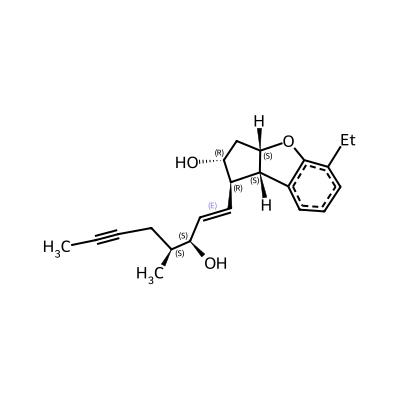 CC#CC[C@H](C)[C@H](O)/C=C/[C@@H]1[C@H]2c3cccc(CC)c3O[C@H]2C[C@H]1O